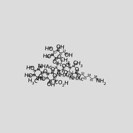 CC(=O)N[C@H]1C(O[C@@H]2OC(C)[C@@H](O[C@@H]3OC(CO)[C@@H](O)C(O)[C@@H]3O)C(O[C@@H]3OC(C(=O)O)[C@@H](O)C(O)[C@@H]3O[C@@H]3OC(C)[C@@H](O)C(O)[C@@H]3NC(C)=O)[C@@H]2NC(C)=O)C(=O)C(C)O[C@H]1OCCCCCN